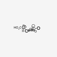 COC(=O)C(c1ccccc1)C1CCCCN1C(=O)OC[n+]1cccc(C(=O)NC(C(=O)O)C(C)C)c1